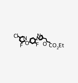 CCOC(=O)CC(=O)Cc1cnn(-c2ccc(Oc3ncc(Cl)cc3F)cc2F)c1